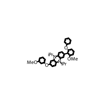 COc1cccc(Oc2ccc3c(c2)N(C(C)C)c2ccc(-c4c(OC)cccc4Oc4ccccc4)cc2N3C(C)C)c1